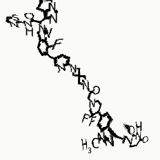 Cn1nc(N2CCC(=O)NC2=O)c2ccc(C3CCN(CC(=O)N4CC5(C4)CN(c4ccc(-c6ccc7cn(C(C(=O)Nc8nccs8)c8ncn9c8CCC9)nc7c6F)cn4)C5)CC3(F)F)cc21